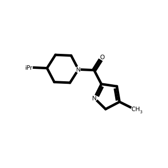 CC1=CC(C(=O)N2CCC(C(C)C)CC2)=NC1